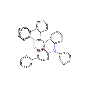 c1ccc(-c2ccc(N(c3ccccc3)c3ccccc3-c3cccc(-c4ccccc4)c3-c3ccccc3-c3ccccc3)cc2)cc1